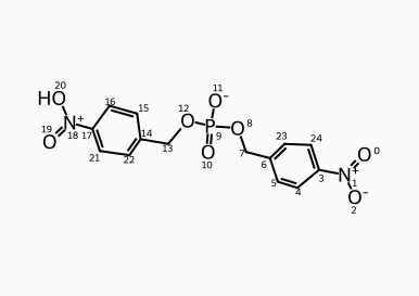 O=[N+]([O-])c1ccc(COP(=O)([O-])OCc2ccc([N+](=O)O)cc2)cc1